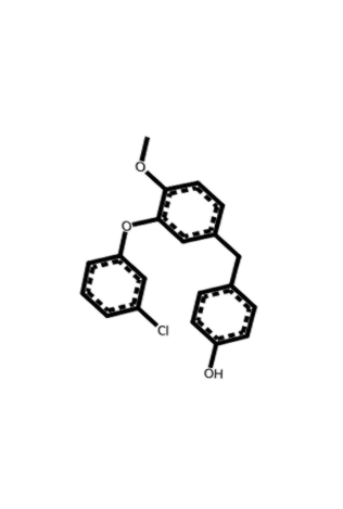 COc1ccc(Cc2ccc(O)cc2)cc1Oc1cccc(Cl)c1